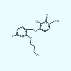 CC(C)(C)n1ncc(OCc2ccc(F)nc2OCCCO)c(Cl)c1=O